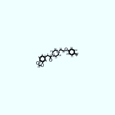 O=C(Cc1ccc2c(c1)OCO2)N1CCN(CCOc2ccc(F)cc2)CC1